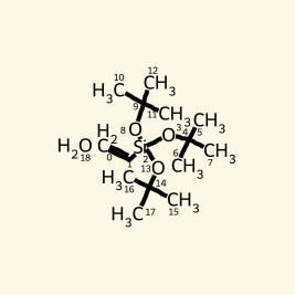 C=C[Si](OC(C)(C)C)(OC(C)(C)C)OC(C)(C)C.O